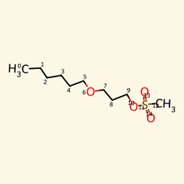 CCCCCCOCCCOS(C)(=O)=O